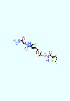 CC1=C(C(=O)NOCC(C)(C)OCc2cc(C(=O)NCC(N)=O)cs2)SC(C)C1